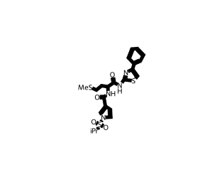 CSCCC(NC(=O)c1ccn(S(=O)(=O)C(C)C)c1)C(=O)Nc1nc(-c2ccccc2)cs1